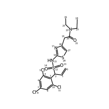 C=CC(c1c(Cl)cc(Cl)cc1Cl)S(=O)(=O)Nc1nc(CC(=O)N(CC)CC)cs1